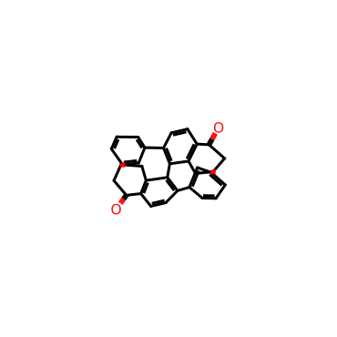 O=C1CCCc2c1ccc(-c1ccccc1)c2-c1c(-c2ccccc2)ccc2c1CCCC2=O